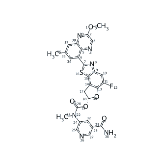 COc1cnc2c(-c3nc4cc(F)c5c(c4s3)C[C@@H](OC(=O)N(C)c3cncc(C(N)=O)c3)O5)cc(C)cc2n1